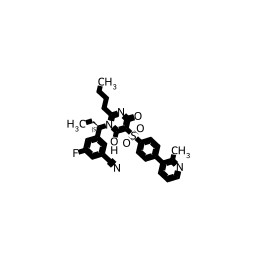 CCCCc1nc(=O)c(S(=O)(=O)c2ccc(-c3cccnc3C)cc2)c(O)n1[C@@H](CC)c1cc(F)cc(C#N)c1